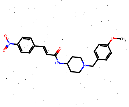 COc1ccc(CN2CCC(NC(=O)/C=C/c3ccc([N+](=O)[O-])cc3)CC2)cc1